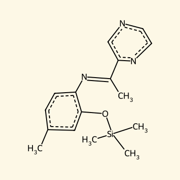 CC(=Nc1ccc(C)cc1O[Si](C)(C)C)c1cnccn1